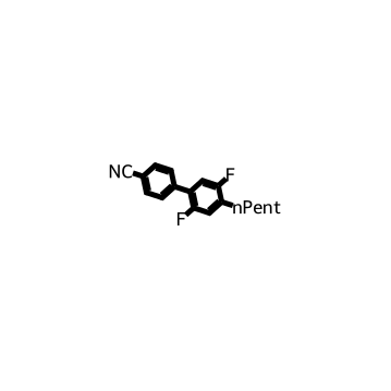 CCCCCc1cc(F)c(-c2ccc(C#N)cc2)cc1F